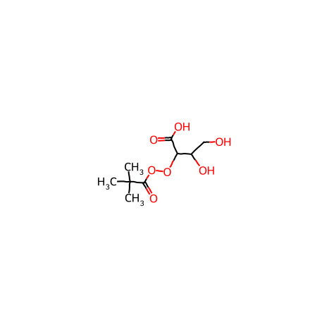 CC(C)(C)C(=O)OOC(C(=O)O)C(O)CO